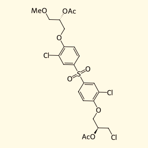 COC[C@@H](COc1ccc(S(=O)(=O)c2ccc(OC[C@@H](CCl)OC(C)=O)c(Cl)c2)cc1Cl)OC(C)=O